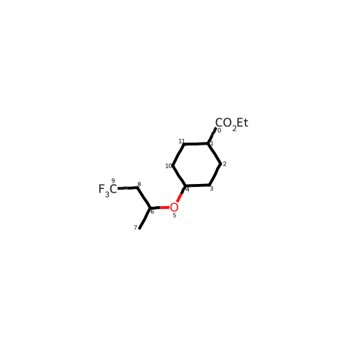 CCOC(=O)C1CCC(OC(C)CC(F)(F)F)CC1